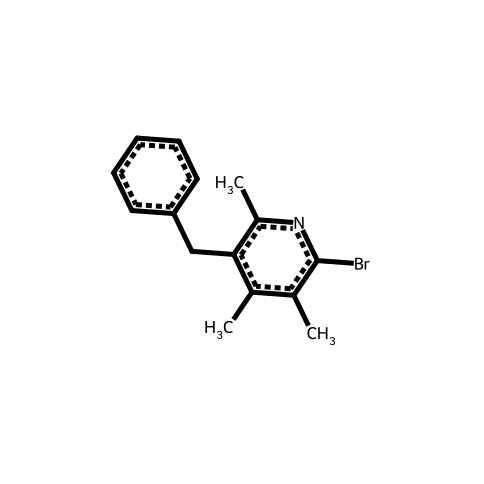 Cc1nc(Br)c(C)c(C)c1Cc1ccccc1